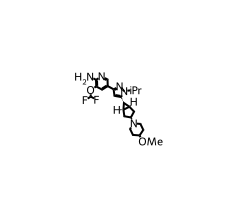 COC1CCN([C@H]2C[C@@H]3[C@H](C2)[C@H]3c2cc(-c3cnc(N)c(OC(F)F)c3)nn2C(C)C)CC1